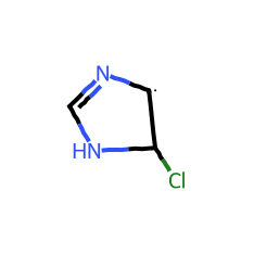 ClC1[CH]N=CN1